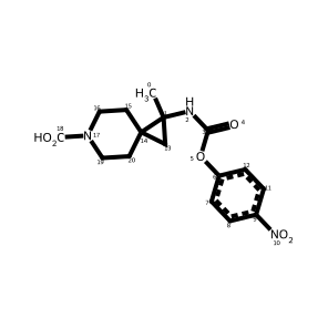 CC1(NC(=O)Oc2ccc([N+](=O)[O-])cc2)CC12CCN(C(=O)O)CC2